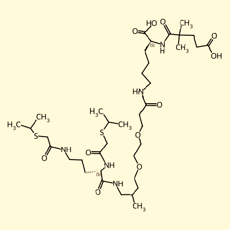 CC(CCOCCOCCC(=O)NCCCC[C@H](NC(=O)C(C)(C)CCC(=O)O)C(=O)O)CNC(=O)[C@H](CCCNC(=O)CSC(C)C)NC(=O)CSC(C)C